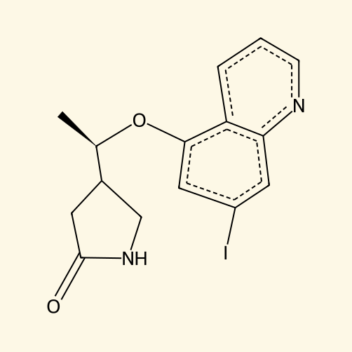 C[C@@H](Oc1cc(I)cc2ncccc12)C1CNC(=O)C1